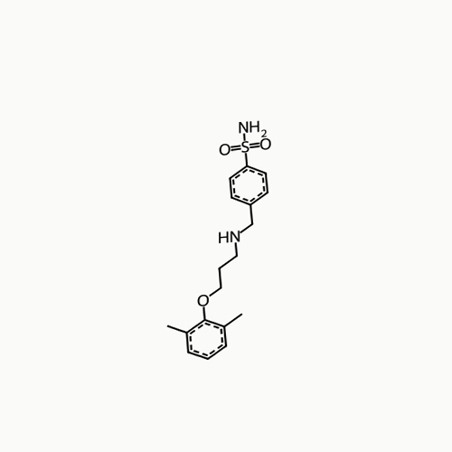 Cc1cccc(C)c1OCCCNCc1ccc(S(N)(=O)=O)cc1